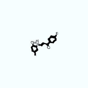 Cc1ccc(O)c(N/C=C/C(=O)c2ccc(F)cc2)c1